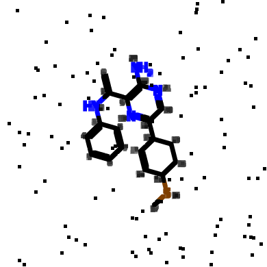 C=C(Nc1ccccc1)c1nc(C2C=CC(SC)CC2)cnc1N